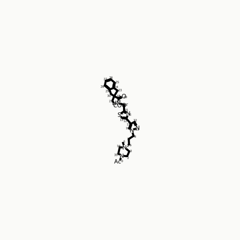 CC(=O)N1CC[N+](C)(CCCn2cc(-c3csc(CNC(=O)C4(CC(=O)[O-])Cc5ccccc5C4)n3)cn2)CC1